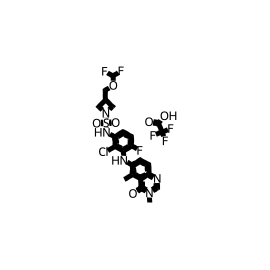 Cc1c(Nc2c(F)ccc(NS(=O)(=O)N3CC(COC(F)F)C3)c2Cl)ccc2ncn(C)c(=O)c12.O=C(O)C(F)(F)F